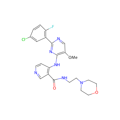 COc1cnc(-c2cc(Cl)ccc2F)nc1Nc1ccncc1C(=O)NCCN1CCOCC1